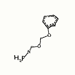 PN=POCOc1ccccc1